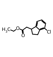 CCOC(=O)CC1CCc2c(Cl)cccc21